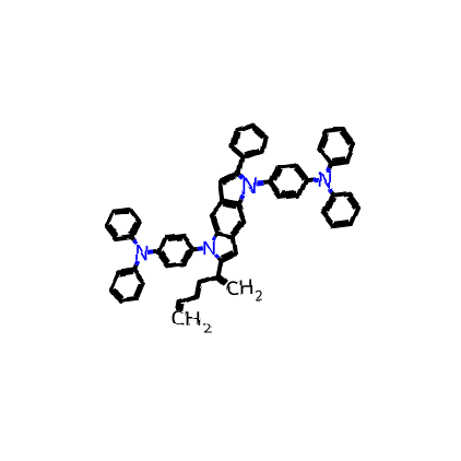 C=CCCC(=C)c1cc2cc3c(cc(-c4ccccc4)n3-c3ccc(N(c4ccccc4)c4ccccc4)cc3)cc2n1-c1ccc(N(c2ccccc2)c2ccccc2)cc1